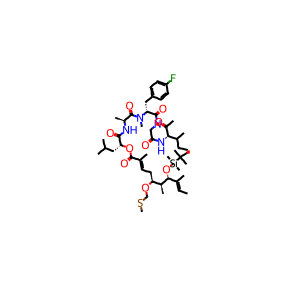 C/C=C(\C)[C@@H](O[Si](C)(C)C(C)(C)C)[C@@H](C)[C@H](C/C=C(\C)C(=O)O[C@H](CC(C)C)C(=O)N[C@@H](C)C(=O)N(C)[C@H](Cc1ccc(F)cc1)C(=O)N(C)CC(=O)N[C@H](C(C)=O)C(C)CC)OCSC